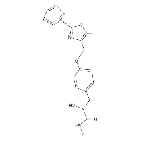 Cc1oc(-c2ccccc2)nc1COc1ccc(CN(O)C(=O)NF)cc1